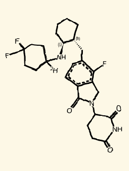 [2H]C1(N[C@H]2CCCC[C@@H]2Cc2ccc3c(c2F)CN(C2CCC(=O)NC2=O)C3=O)CCC(F)(F)CC1